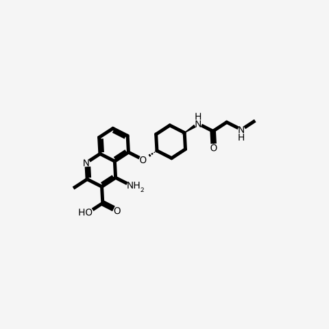 CNCC(=O)N[C@H]1CC[C@H](Oc2cccc3nc(C)c(C(=O)O)c(N)c23)CC1